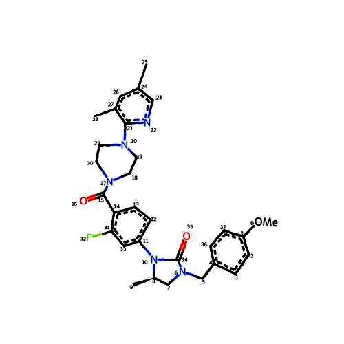 COc1ccc(CN2C[C@@H](C)N(c3ccc(C(=O)N4CCN(c5ncc(C)cc5C)CC4)c(F)c3)C2=O)cc1